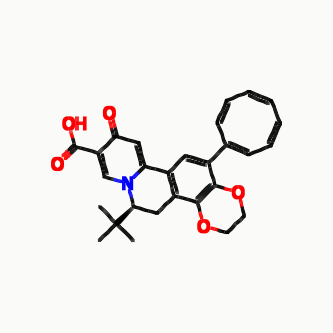 CC(C)(C)[C@@H]1Cc2c(cc(C3=C/C=C\C=C/C=C\3)c3c2OCCO3)-c2cc(=O)c(C(=O)O)cn21